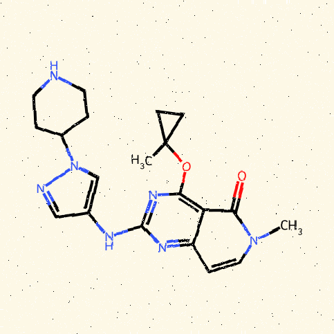 Cn1ccc2nc(Nc3cnn(C4CCNCC4)c3)nc(OC3(C)CC3)c2c1=O